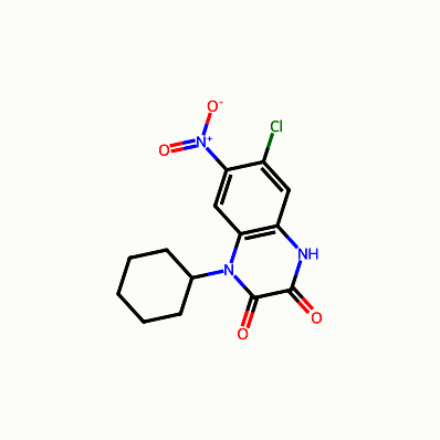 O=c1[nH]c2cc(Cl)c([N+](=O)[O-])cc2n(C2CCCCC2)c1=O